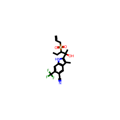 C=CCS(=O)(=O)C(CC)C(C)(O)c1[nH]c2cc(C(F)(F)F)c(C#N)cc2c1C